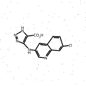 O=C(O)c1[nH]nnc1Nc1cnc2cc(Cl)ccc2c1